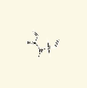 C=C[SiH2]N(C)[Si](C)(C)C=C